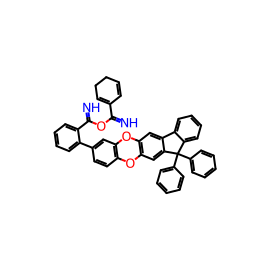 N=C(OC(=N)c1ccccc1-c1ccc2c(c1)Oc1cc3c(cc1O2)C(c1ccccc1)(c1ccccc1)c1ccccc1-3)C1=CCCC=C1